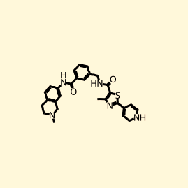 Cc1nc(C2=CCNC=C2)sc1C(=O)NCc1cccc(C(=O)Nc2ccc3c(c2)CN(C)CC3)c1